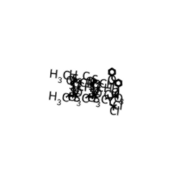 CC1(C)C(C=C(Cl)Cl)C1C(=O)OCc1cccc(Oc2ccccc2)c1.CCOP(=S)(OCC)SCSP(=S)(OCC)OCC.CCOP(=S)(OCC)SCSP(=S)(OCC)OCC